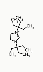 CCC(CC)(CC)N1C=[N+](C(CC)(CC)CC)CC1